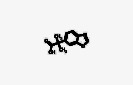 CC(C)(C(=O)O)c1ccc2ncoc2c1